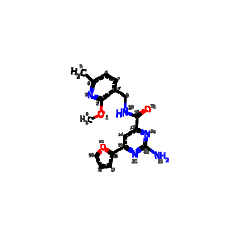 COc1nc(C)ccc1CNC(=O)c1cc(-c2ccco2)nc(N)n1